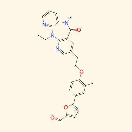 CCN1c2ncc(CCOc3ccc(-c4ccc(C=O)o4)cc3C)cc2C(=O)N(C)c2cccnc21